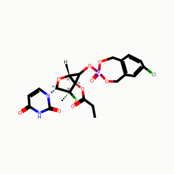 CCC(=O)O[C@]12C(OP3(=O)OCc4ccc(Cl)cc4CO3)[C@H]1O[C@@H](n1ccc(=O)[nH]c1=O)[C@]2(C)F